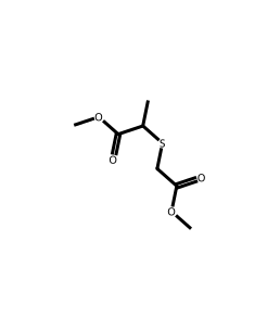 COC(=O)CSC(C)C(=O)OC